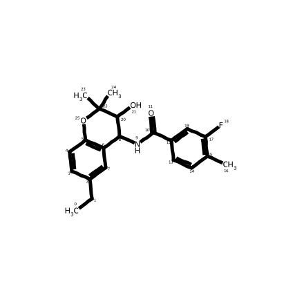 CCc1ccc2c(c1)C(NC(=O)c1ccc(C)c(F)c1)C(O)C(C)(C)O2